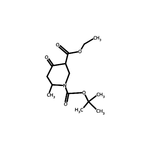 CCOC(=O)C1CN(C(=O)OC(C)(C)C)C(C)CC1=O